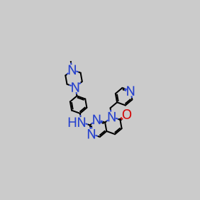 CN1CCN(c2ccc(Nc3ncc4ccc(=O)n(Cc5ccncc5)c4n3)cc2)CC1